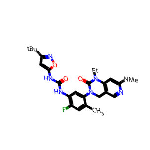 CCN1C(=O)N(c2cc(NC(=O)Nc3cc(C(C)(C)C)no3)c(F)cc2C)Cc2cnc(NC)cc21